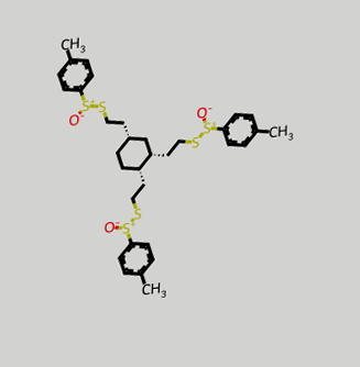 Cc1ccc([S+]([O-])SCC[C@H]2CC[C@@H](CCS[S+]([O-])c3ccc(C)cc3)[C@@H](CCS[S+]([O-])c3ccc(C)cc3)C2)cc1